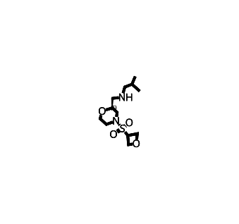 CC(C)CNC[C@H]1CN(S(=O)(=O)C2COC2)CCO1